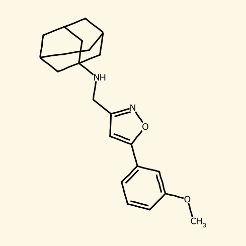 COc1cccc(-c2cc(CNC34CC5CC(CC(C5)C3)C4)no2)c1